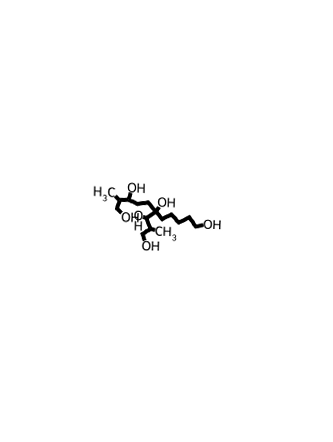 CC(CO)C(O)CCC(O)(CCCCCO)C(O)C(C)CO